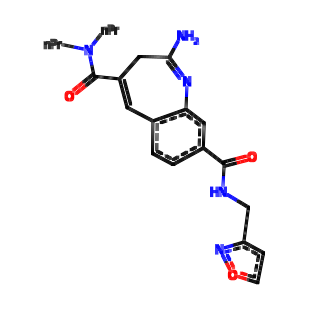 CCCN(CCC)C(=O)C1=Cc2ccc(C(=O)NCc3ccon3)cc2N=C(N)C1